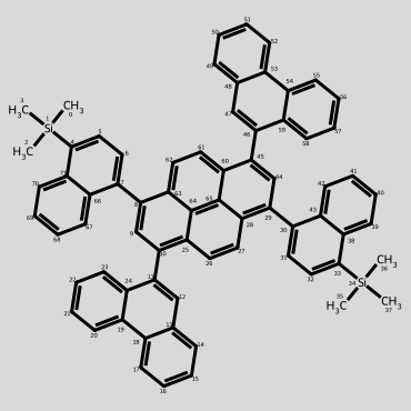 C[Si](C)(C)c1ccc(-c2cc(-c3cc4ccccc4c4ccccc34)c3ccc4c(-c5ccc([Si](C)(C)C)c6ccccc56)cc(-c5cc6ccccc6c6ccccc56)c5ccc2c3c45)c2ccccc12